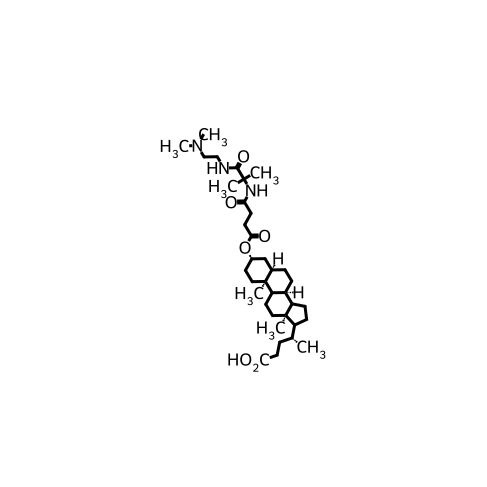 C[C@H](CCC(=O)O)C1CCC2[C@@H]3CC[C@@H]4C[C@@H](OC(=O)CCC(=O)NC(C)(C)C(=O)NCCN(C)C)CC[C@]4(C)C3CC[C@@]21C